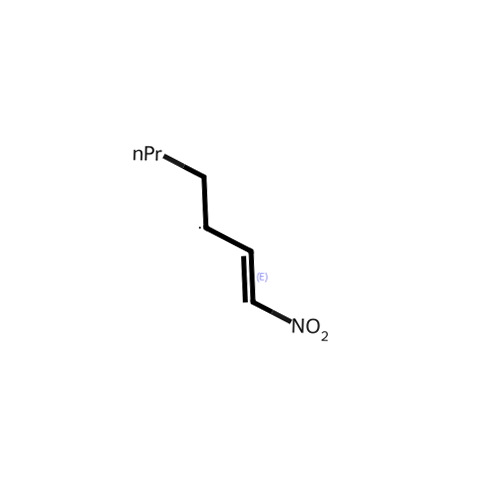 CCCC[CH]/C=C/[N+](=O)[O-]